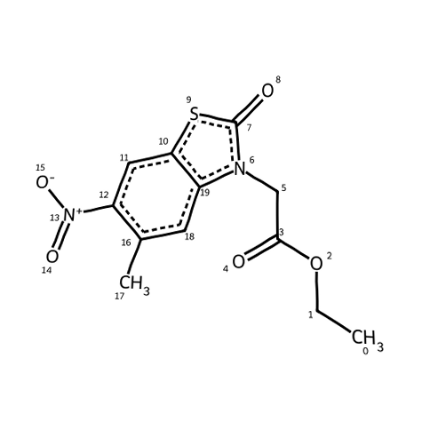 CCOC(=O)Cn1c(=O)sc2cc([N+](=O)[O-])c(C)cc21